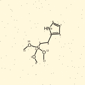 CO[Si](CCc1ccc[nH]1)(OC)OC